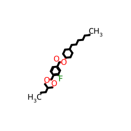 CCCCCCCC1CCC(OC(=O)c2ccc(C3OCC(CCC)CO3)c(F)c2)CC1